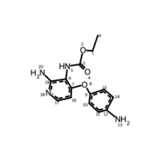 CCOC(=O)Nc1c(Oc2ccc(N)cc2)ccnc1N